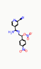 N#Cc1cc(C(N)=NCC(O[N+](=O)[O-])c2ccc([N+](=O)[O-])cc2)ccn1